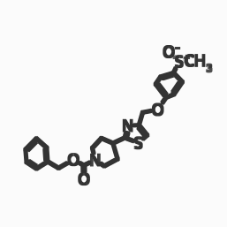 C[S+]([O-])c1ccc(OCc2csc(C3CCN(C(=O)OCc4ccccc4)CC3)n2)cc1